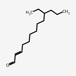 CCCC(CC)CCCCCCC=C[C]=O